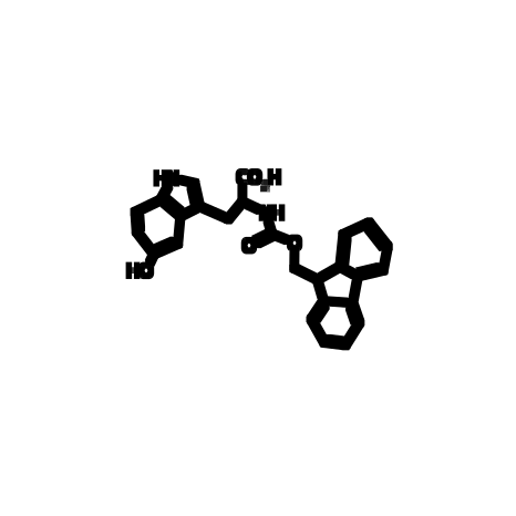 O=C(NC(Cc1c[nH]c2ccc(O)cc12)C(=O)O)OCC1c2ccccc2-c2ccccc21